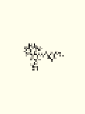 CCOc1cccc(CCOc2cc(OCC#N)cn3c2c(C(N)=O)c2ccccc23)c1